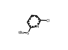 CC(C)(C)Sc1cccc(Cl)n1